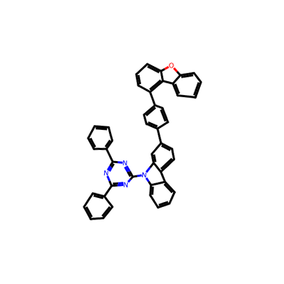 c1ccc(-c2nc(-c3ccccc3)nc(-n3c4ccccc4c4ccc(-c5ccc(-c6cccc7oc8ccccc8c67)cc5)cc43)n2)cc1